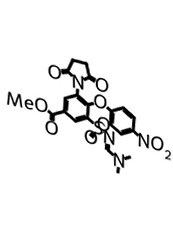 COC(=O)c1cc(N2C(=O)CCC2=O)c(Oc2ccc([N+](=O)[O-])cc2)c(S(=O)(=O)N=CN(C)C)c1